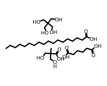 CC(CO)(CO)C(=O)O.CCCCCCCCCCCCCCCCCC(=O)O.O=C(O)CCCCC(=O)O.OCC(CO)(CO)CO